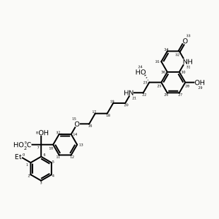 CCc1ccccc1C(O)(C(=O)O)c1cccc(OCCCCCNC[C@H](O)c2ccc(O)c3[nH]c(=O)ccc23)c1